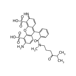 CC(C)C(=O)CCCN(C)C(=O)c1ccccc1-c1c2ccc(=N)c(S(=O)(=O)O)c-2oc2c(S(=O)(=O)O)c(N)ccc12